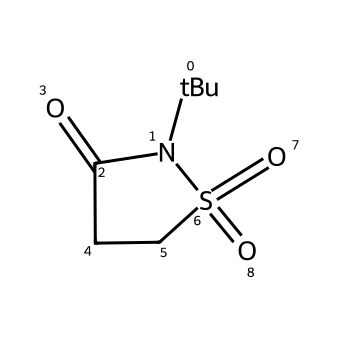 CC(C)(C)N1C(=O)CCS1(=O)=O